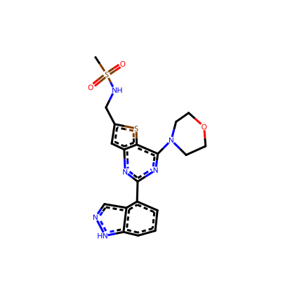 CS(=O)(=O)NCc1cc2nc(-c3cccc4[nH]ncc34)nc(N3CCOCC3)c2s1